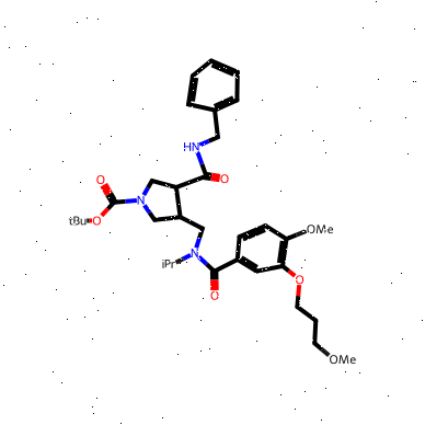 COCCCOc1cc(C(=O)N(CC2CN(C(=O)OC(C)(C)C)CC2C(=O)NCc2ccccc2)C(C)C)ccc1OC